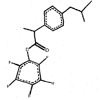 CC(C)Cc1ccc(C(C)C(=O)Oc2c(F)c(F)c(F)c(F)c2F)cc1